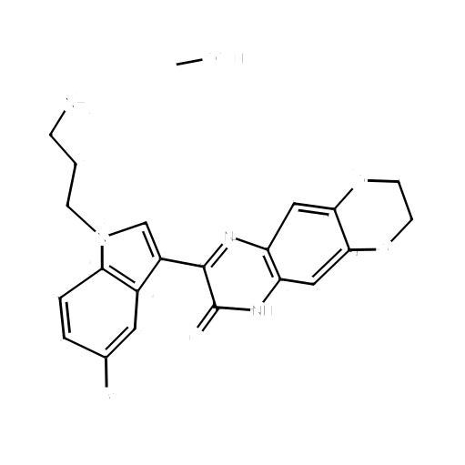 CC(=O)O.NCCCn1cc(-c2nc3cc4c(cc3[nH]c2=O)OCCO4)c2cc(Br)ccc21